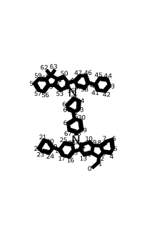 CCC1c2ccccc2-c2cc3c(cc21)c1ccc(-c2ccccc2)cc1n3-c1ccc(-c2ccc(-n3c4cc(-c5ccccc5)ccc4c4cc5c(cc43)-c3ccccc3C5(C)C)cc2)cc1